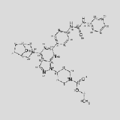 CCOC(=O)N1CCC(n2ncc3c(N4CC5CCC(C4)O5)nc(-c4ccc(NC(=O)Nc5cccnc5)cc4)nc32)CC1